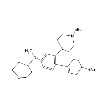 CCCCN1CCN(c2cc(N(C)C3CCOCC3)ccc2C2=CCC(C(C)(C)C)CC2)CC1